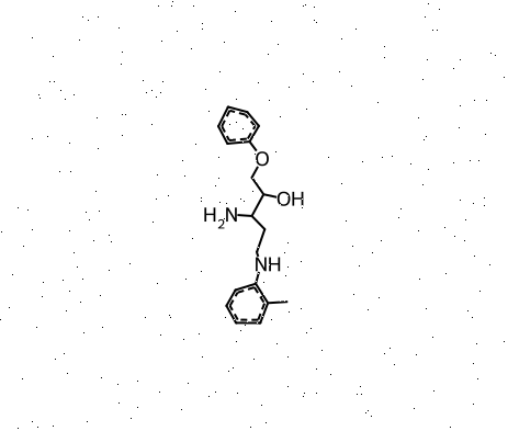 Cc1ccccc1NCCC(N)C(O)COc1ccccc1